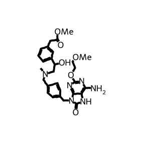 COCCOc1nc(N)c2[nH]c(=O)n(Cc3ccc(CN(C)CC(O)c4cccc(CC(=O)OC)c4)cc3)c2n1